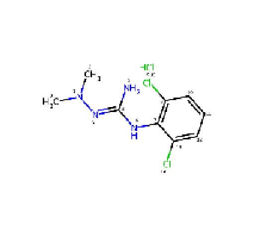 CN(C)/N=C(\N)Nc1c(Cl)cccc1Cl.Cl